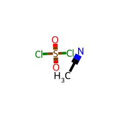 CC#N.O=S(=O)(Cl)Cl